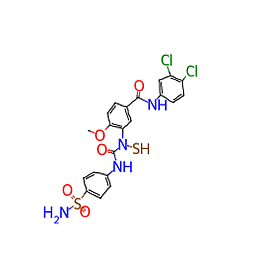 COc1ccc(C(=O)Nc2ccc(Cl)c(Cl)c2)cc1N(S)C(=O)Nc1ccc(S(N)(=O)=O)cc1